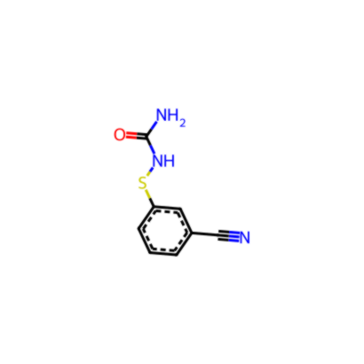 N#Cc1cccc(SNC(N)=O)c1